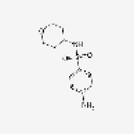 Nc1ccc(S(=O)(=O)NC2CCOCC2)cc1